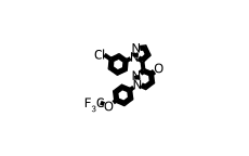 O=c1ccn(-c2ccc(OC(F)(F)F)cc2)nc1-c1ccnn1-c1cccc(Cl)c1